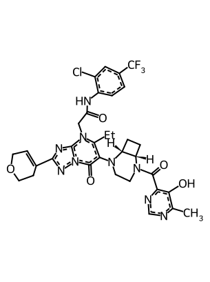 CCc1c(N2CCN(C(=O)c3ncnc(C)c3O)[C@H]3CC[C@H]32)c(=O)n2nc(C3=CCOCC3)nc2n1CC(=O)Nc1ccc(C(F)(F)F)cc1Cl